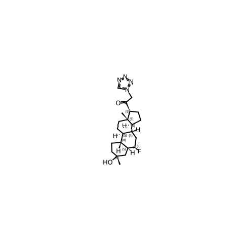 C[C@@]1(O)CC[C@@H]2[C@H]3CC[C@]4(C)[C@@H](C(=O)Cn5cnnn5)CC[C@H]4[C@@H]3C[C@@H](F)[C@H]2C1